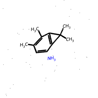 Cc1ccc2c(c1C)C2(C)C.N